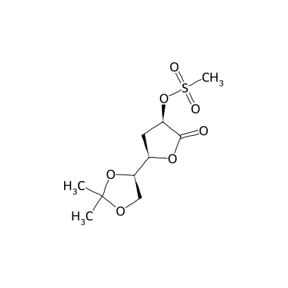 CC1(C)OC[C@H]([C@H]2C[C@@H](OS(C)(=O)=O)C(=O)O2)O1